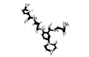 O=C(O)CNC(=O)c1cc(N2CCOCC2=O)ccc1NC(=O)CCNC(=O)c1ccc(Cl)s1